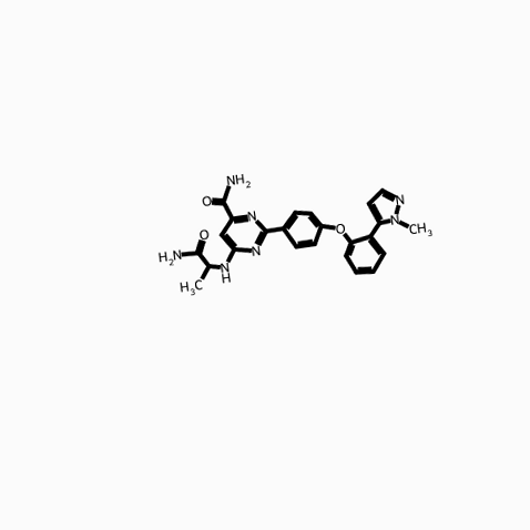 CC(Nc1cc(C(N)=O)nc(-c2ccc(Oc3ccccc3-c3ccnn3C)cc2)n1)C(N)=O